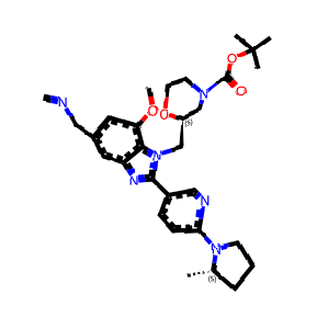 C=NCc1cc(OC)c2c(c1)nc(-c1ccc(N3CCC[C@@H]3C)nc1)n2C[C@@H]1CN(C(=O)OC(C)(C)C)CCO1